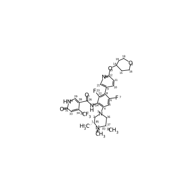 C[C@@H]1CN(c2cc(F)c(-c3ccc(OC4CCOCC4)nc3)c(F)c2NC(=O)c2c[nH]c(=O)cc2C(F)(F)F)C[C@H](C)N1C